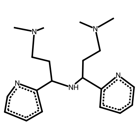 CN(C)CCC(NC(CCN(C)C)c1ccccn1)c1ccccn1